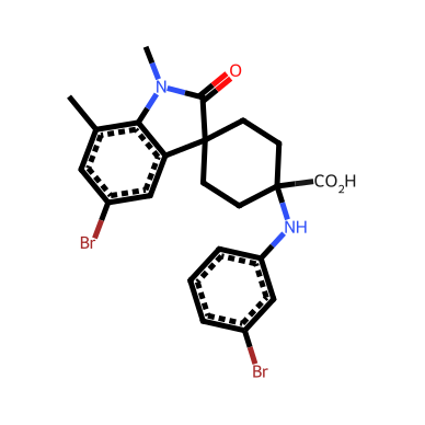 Cc1cc(Br)cc2c1N(C)C(=O)C21CCC(Nc2cccc(Br)c2)(C(=O)O)CC1